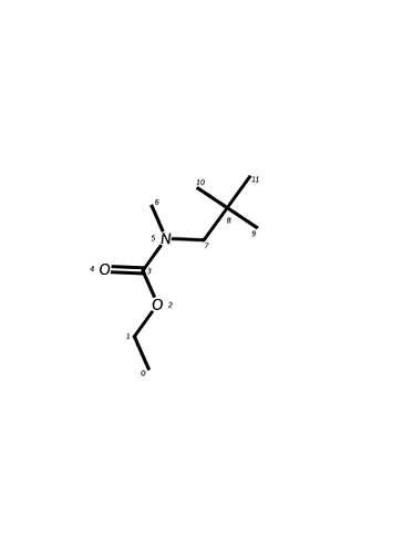 CCOC(=O)N(C)CC(C)(C)C